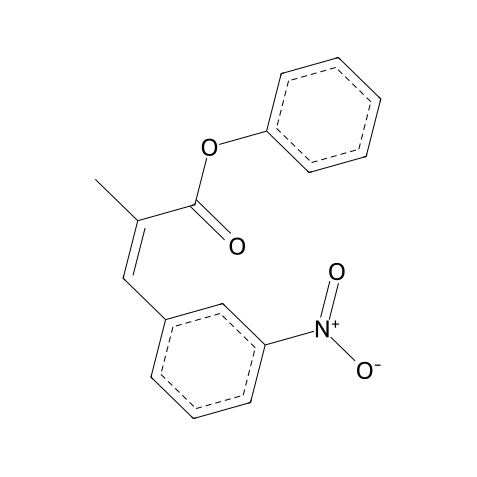 CC(=Cc1cccc([N+](=O)[O-])c1)C(=O)Oc1ccccc1